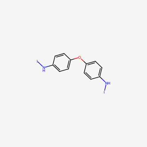 INc1ccc(Oc2ccc(NI)cc2)cc1